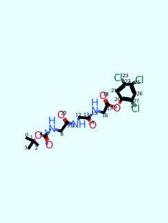 CC(C)(C)OC(=O)NCC(=O)NCC(=O)NCC(=O)Oc1cc(Cl)c(Cl)cc1Cl